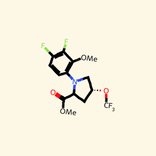 COC(=O)C1C[C@@H](OC(F)(F)F)CN1c1ccc(F)c(F)c1OC